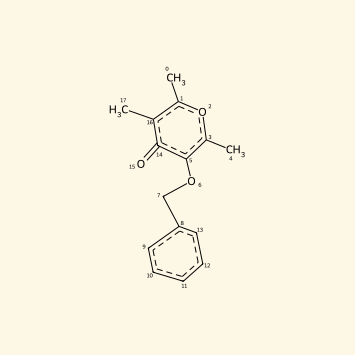 Cc1oc(C)c(OCc2ccccc2)c(=O)c1C